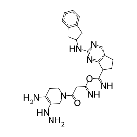 N=C(CC(=O)N1CCC(N)=C(NN)C1)OC(=N)C1CCc2cnc(NC3Cc4ccccc4C3)nc21